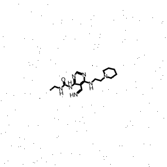 CCNC(=O)Nc1ncnc(NCCN2CCCCC2)c1C=N